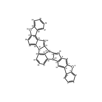 c1ccc2c(c1)oc1cc3nc4n(c3cc12)c1cccc2c1n4c1nc3c4c(ccc3n21)oc1ccccc14